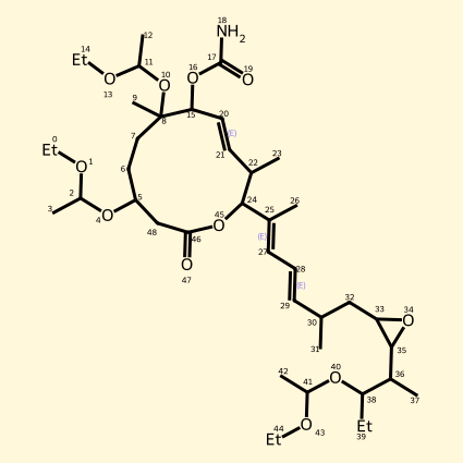 CCOC(C)OC1CCC(C)(OC(C)OCC)C(OC(N)=O)/C=C/C(C)C(/C(C)=C/C=C/C(C)CC2OC2C(C)C(CC)OC(C)OCC)OC(=O)C1